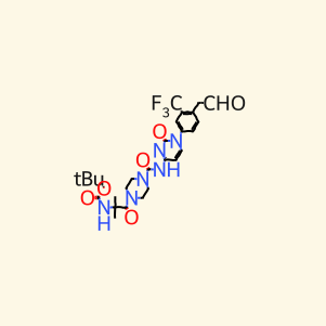 CC(C)(C)OC(=O)NC(C)(C)C(=O)N1CCN(C(=O)Nc2ccn(-c3ccc(CC=O)c(C(F)(F)F)c3)c(=O)n2)CC1